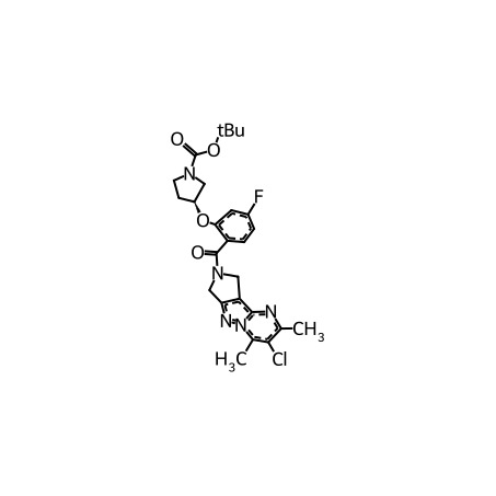 Cc1nc2c3c(nn2c(C)c1Cl)CN(C(=O)c1ccc(F)cc1O[C@H]1CCN(C(=O)OC(C)(C)C)C1)C3